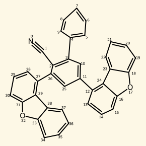 N#Cc1c(-c2ccccc2)cc(-c2cccc3oc4ccccc4c23)cc1-c1cccc2oc3ccccc3c12